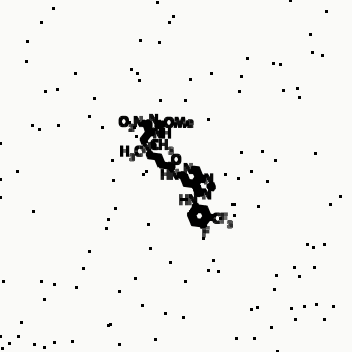 COc1nc([N+](=O)[O-])c(C[N+](C)(C)C/C=C/C(=O)Nc2cc3c(Nc4ccc(F)c(C(F)(F)F)c4)ncnc3cn2)[nH]1